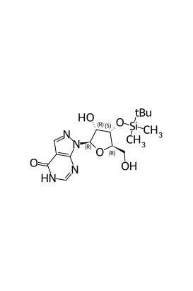 CC(C)(C)[Si](C)(C)O[C@H]1[C@@H](O)[C@H](n2ncc3c(=O)[nH]cnc32)O[C@@H]1CO